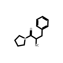 [C-]#[N+]C(Cc1ccccc1)C(=O)N1CCCC1